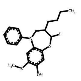 CCCCC1CN(c2ccccc2)c2cc(SC)c(O)cc2SC1F